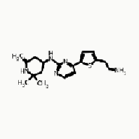 C=C1CC(Nc2nccc(-c3ccc(CCN)s3)n2)CC(C)(C)N1